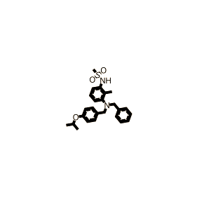 Cc1c(NS(C)(=O)=O)cccc1N(Cc1ccccc1)Cc1ccc(OC(C)C)cc1